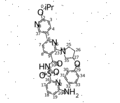 CC(C)Oc1ccc(-c2ccc(C(=O)NS(=O)(=O)c3cccc(N)n3)c(N3CCC(Oc4ccccc4)C3)n2)cn1